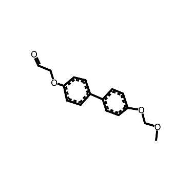 COCOc1ccc(-c2ccc(OCC=O)cc2)cc1